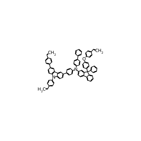 C=Cc1ccc(Oc2ccc(C3(c4ccccc4)c4ccccc4-c4ccc(N(c5ccc(-c6ccccc6)cc5)c5ccc(-c6ccc7c(c6)c6cc(-c8ccc(C=C)cc8)ccc6n7-c6ccc(C=C)cc6)cc5)cc43)cc2)cc1